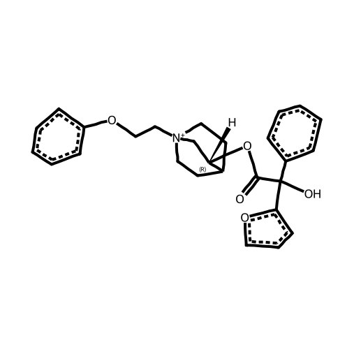 O=C(O[C@H]1C[N+]2(CCOc3ccccc3)CCC1CC2)C(O)(c1ccccc1)c1ccco1